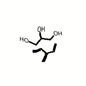 C=CC(=C)C=C.OCC(O)CO